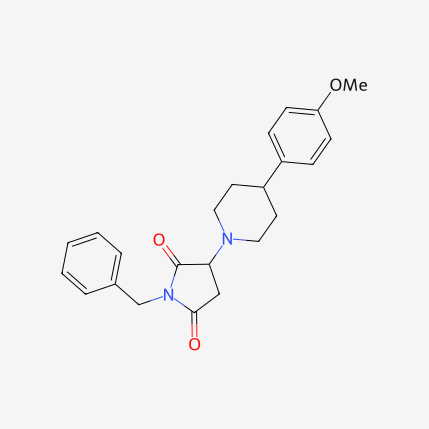 COc1ccc(C2CCN(C3CC(=O)N(Cc4ccccc4)C3=O)CC2)cc1